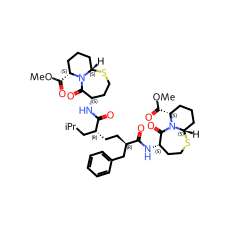 COC(=O)[C@@H]1CCC[C@@H]2SCC[C@H](NC(=O)[C@H](CC[C@H](CC(C)C)C(=O)N[C@H]3CCS[C@H]4CCC[C@@H](C(=O)OC)N4C3=O)Cc3ccccc3)C(=O)N21